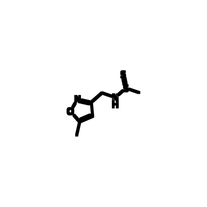 Cc1cc(CNS(C)=S)no1